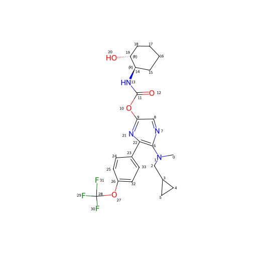 CN(CC1CC1)c1ncc(OC(=O)N[C@@H]2CCCC[C@H]2O)nc1-c1ccc(OC(F)(F)F)cc1